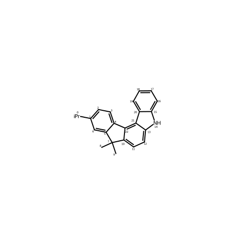 CC(C)c1ccc2c(c1)C(C)(C)c1ccc3[nH]c4ccccc4c3c1-2